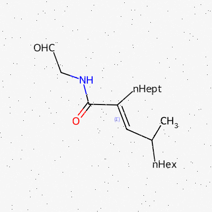 CCCCCCC/C(=C\C(C)CCCCCC)C(=O)NCC=O